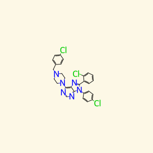 Clc1ccc(CN2CCN(c3ncnc4c3nc(-c3ccccc3Cl)n4-c3ccc(Cl)cc3)CC2)cc1